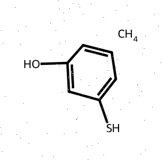 C.Oc1cccc(S)c1